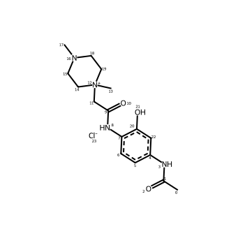 CC(=O)Nc1ccc(NC(=O)C[N+]2(C)CCN(C)CC2)c(O)c1.[Cl-]